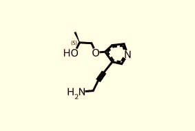 C[C@H](O)COc1ccncc1C#CCN